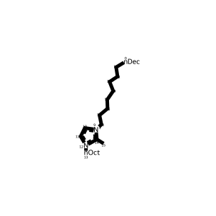 CCCCCCCCCCCCCCCCCC[n+]1ccn(CCCCCCCC)c1C